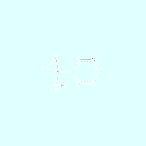 [SnH][C]1(c2cccnc2)CC1